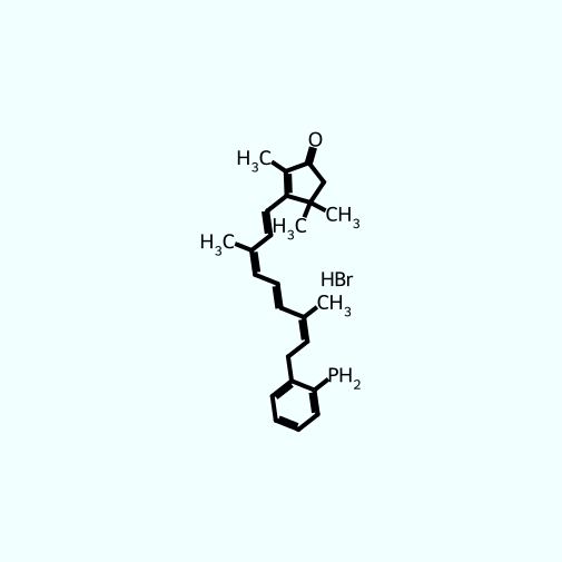 Br.CC(C=CC1=C(C)C(=O)CC1(C)C)=CC=CC(C)=CCc1ccccc1P